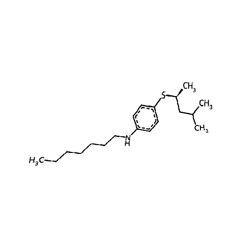 CCCCCCCNc1ccc(S[C@@H](C)CC(C)C)cc1